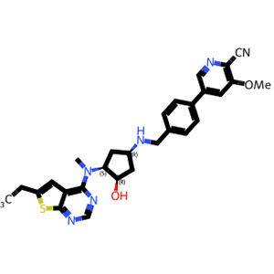 COc1cc(-c2ccc(CN[C@H]3C[C@@H](O)[C@@H](N(C)c4ncnc5sc(CC(F)(F)F)cc45)C3)cc2)cnc1C#N